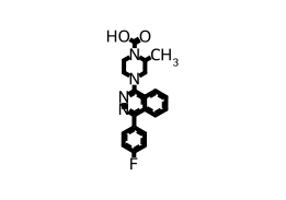 CC1CN(c2nnc(-c3ccc(F)cc3)c3ccccc23)CCN1C(=O)O